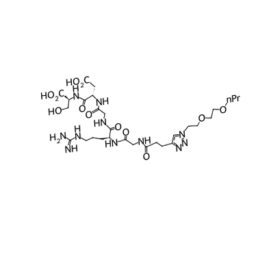 CCCOCCOCCn1cc(CCC(=O)NCC(=O)N[C@@H](CCCNC(=N)N)C(=O)NCC(=O)N[C@@H](CC(=O)O)C(=O)N[C@@H](CO)C(=O)O)nn1